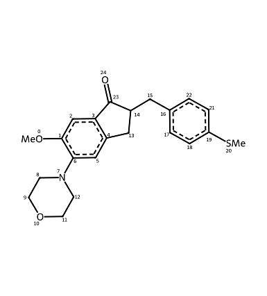 COc1cc2c(cc1N1CCOCC1)CC(Cc1ccc(SC)cc1)C2=O